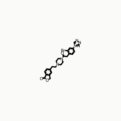 O=C1OCc2cc(CCN3CCN(C(=O)Cc4ccc(-n5cnnn5)cc4Br)CC3)ccc21